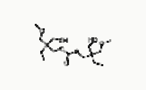 CCC(CO)(COC)COC(=O)OCC(CC)(CO)COC